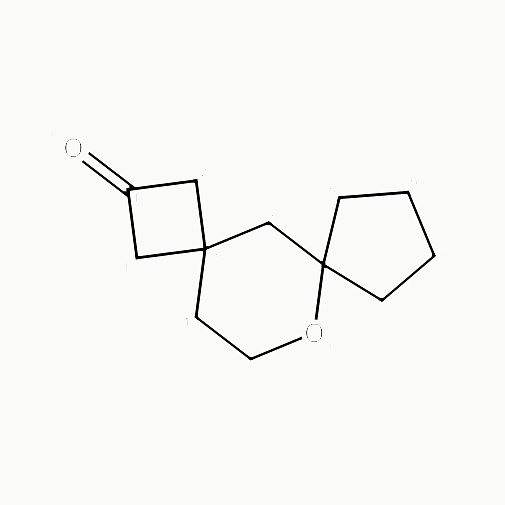 O=C1CC2(CCOC3(CCCC3)C2)C1